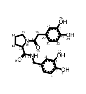 O=C(NCc1ccc(O)c(O)c1)C1CCCN1C(=O)Cc1ccc(O)c(O)c1